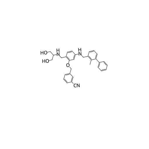 Cc1c(CNc2ccc(CNC(CO)CO)c(OCc3cccc(C#N)c3)c2)cccc1-c1ccccc1